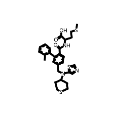 CSCCC(NC(=O)c1ccc(CN(c2cncs2)C2CCSCC2)cc1-c1ccccc1C)C(=O)O